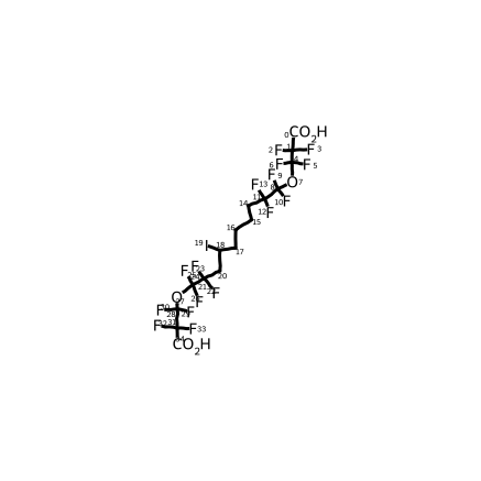 O=C(O)C(F)(F)C(F)(F)OC(F)(F)C(F)(F)CCCCC(I)CC(F)(F)C(F)(F)OC(F)(F)C(F)(F)C(=O)O